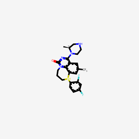 C[C@H]1CNCCN1c1nc(=O)n2c3c(cc(C(F)(F)F)cc13)[SH](c1ccc(F)cc1F)CCC2